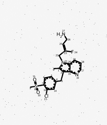 Cc1c(Cc2ccc(S(C)(=O)=O)c(Cl)c2)c2ncccc2n1C/C(F)=C/CN